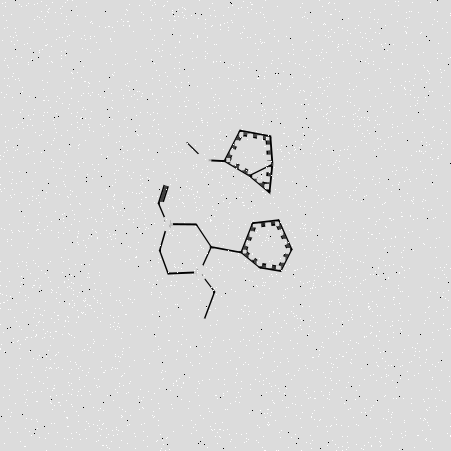 CCN1CCN(C=O)CC1c1ccccc1.COc1ccc2cc1-2